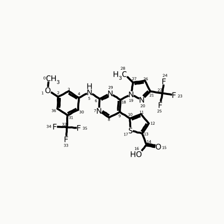 COc1cc(Nc2ncc(-c3ccc(C(=O)O)s3)c(-n3nc(C(F)(F)F)cc3C)n2)cc(C(F)(F)F)c1